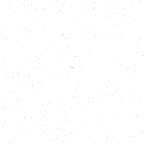 COc1ccc(N(C)CCC=C(C(=O)O)C(=O)c2ncnc(-c3cc(Cl)cc(Cl)c3)c2Cl)cc1